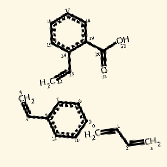 C=CC=C.C=Cc1ccccc1.C=Cc1ccccc1C(=O)O